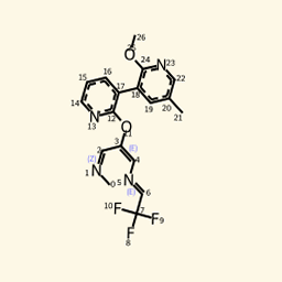 C\N=C/C(=C\N=C\C(F)(F)F)Oc1ncccc1-c1cc(C)cnc1OC